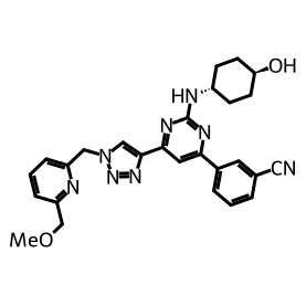 COCc1cccc(Cn2cc(-c3cc(-c4cccc(C#N)c4)nc(N[C@H]4CC[C@H](O)CC4)n3)nn2)n1